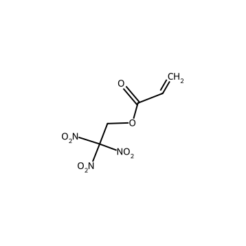 C=CC(=O)OCC([N+](=O)[O-])([N+](=O)[O-])[N+](=O)[O-]